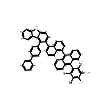 [2H]c1c([2H])c([2H])c(-c2c3ccccc3c(-c3cccc4c(-c5ccc6oc7ccccc7c6c5-c5ccc(-c6ccccc6)cc5)cccc34)c3ccccc23)c([2H])c1[2H]